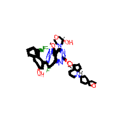 COc1nc(-c2cc(O)cc3cccc(F)c23)c(F)c2nc(OC[C@]34CCC[C@H]3N(C3CCC5(CCOC5)CC3)CCC4)nc(N3CCOC[C@@](C)(O)C3)c12